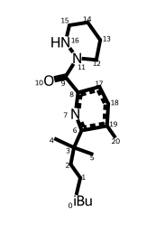 CCC(C)CCC(C)(C)c1nc(C(=O)N2CCCCN2)ccc1C